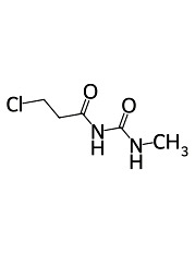 CNC(=O)NC(=O)CCCl